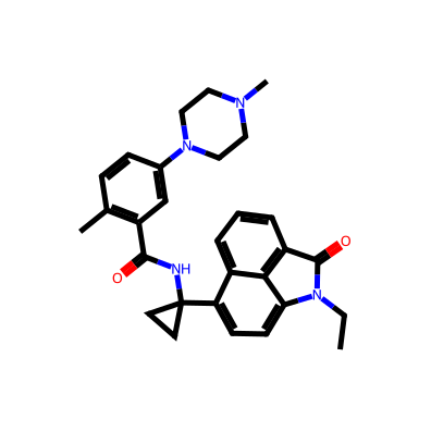 CCN1C(=O)c2cccc3c(C4(NC(=O)c5cc(N6CCN(C)CC6)ccc5C)CC4)ccc1c23